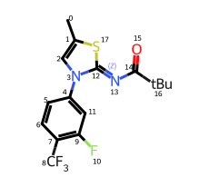 Cc1cn(-c2ccc(C(F)(F)F)c(F)c2)/c(=N/C(=O)C(C)(C)C)s1